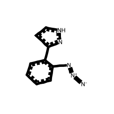 [N-]=[N+]=Nc1ccccc1-c1cc[nH]n1